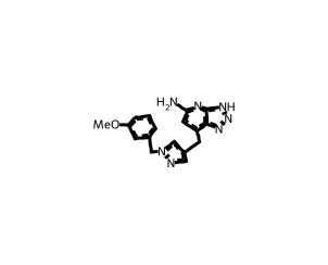 COc1cccc(Cn2cc(Cc3cc(N)nc4[nH]nnc34)cn2)c1